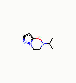 CC(C)N1CCn2nccc2O1